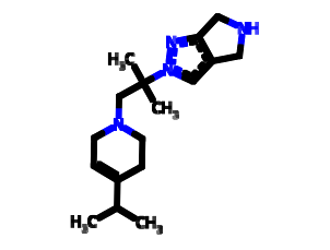 CC(C)C1=CCN(CC(C)(C)n2cc3c(n2)CNC3)CC1